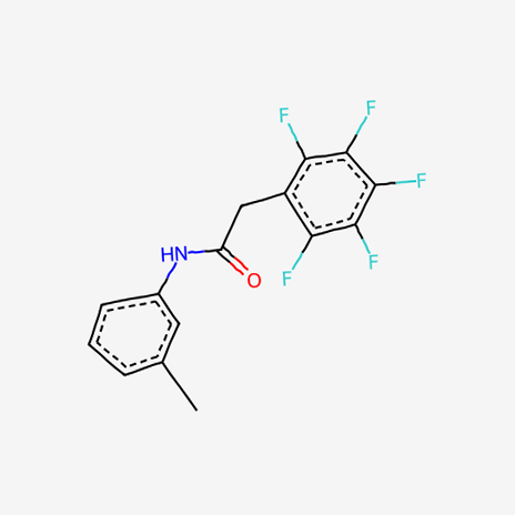 Cc1cccc(NC(=O)Cc2c(F)c(F)c(F)c(F)c2F)c1